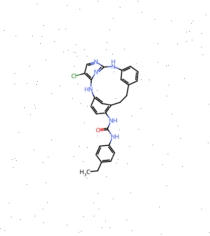 CCc1ccc(NC(=O)Nc2ccc3cc2CCc2cccc(c2)Nc2ncc(Cl)c(n2)N3)cc1